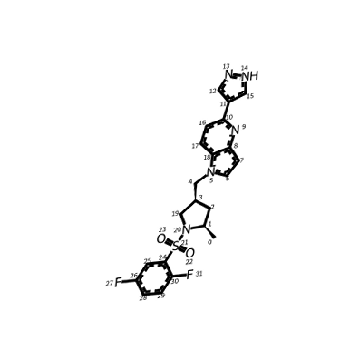 C[C@@H]1C[C@H](Cn2ccc3nc(-c4cn[nH]c4)ccc32)CN1S(=O)(=O)c1cc(F)ccc1F